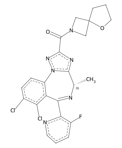 C[C@@H]1N=C(c2ncccc2F)c2c(ccc(Cl)c2Cl)-n2nc(C(=O)N3CC4(CCCO4)C3)nc21